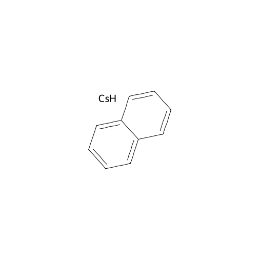 [CsH].c1ccc2ccccc2c1